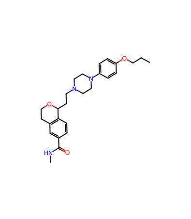 CCCOc1ccc(N2CCN(CCC3OCCc4cc(C(=O)NC)ccc43)CC2)cc1